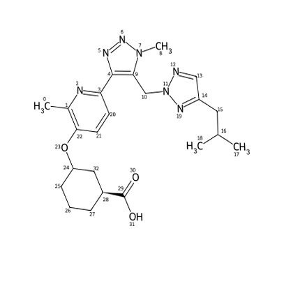 Cc1nc(-c2nnn(C)c2Cn2ncc(CC(C)C)n2)ccc1OC1CCC[C@H](C(=O)O)C1